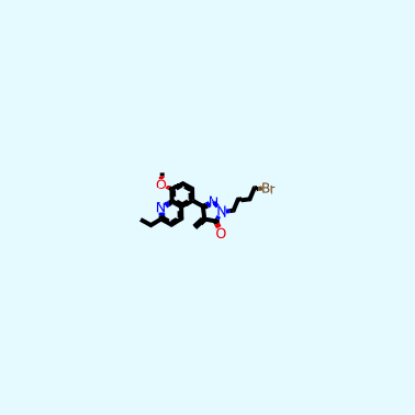 C=C1C(=O)N(CCCCBr)N=C1c1ccc(OC)c2nc(CC)ccc12